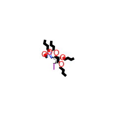 CCCCO[C@@H]([C@H](CN(C=O)OCCCC)OCCCC)[C@@H](CI)OCCCC